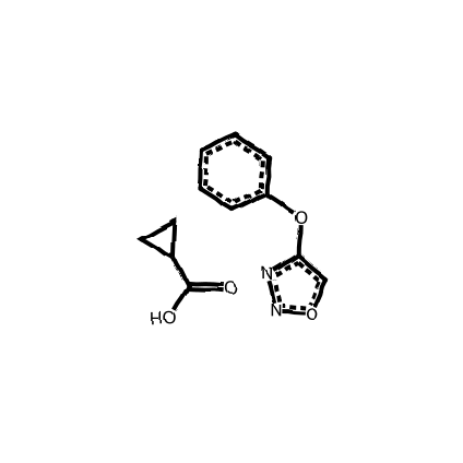 O=C(O)C1CC1.c1ccc(Oc2conn2)cc1